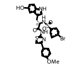 COc1ccc(-c2csc(NC(=O)[C@H](Cc3c[nH]c4ccc(O)cc34)NS(=O)(=O)c3ccc(Br)cc3)n2)cc1